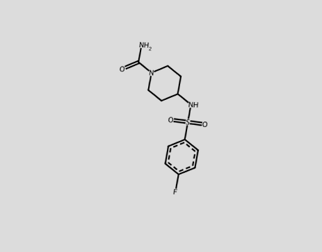 NC(=O)N1CCC(NS(=O)(=O)c2ccc(F)cc2)CC1